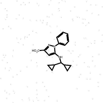 O=C(O)c1cc(NC(C2CC2)C2CC2)n(-c2ccccc2)n1